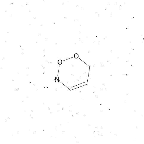 C1=C[N]OOC1